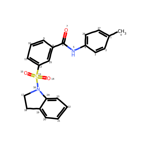 Cc1ccc(NC(=O)c2cccc(S(=O)(=O)N3CCc4ccccc43)c2)cc1